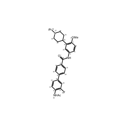 COc1ccc(NC(=O)c2ccc(-c3ccc(NC(C)=O)c(F)c3)cc2)cc1C1CCN(C(C)C)CC1